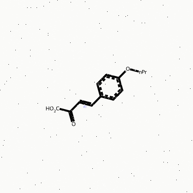 CCCOc1ccc(/C=C/C(=O)C(=O)O)cc1